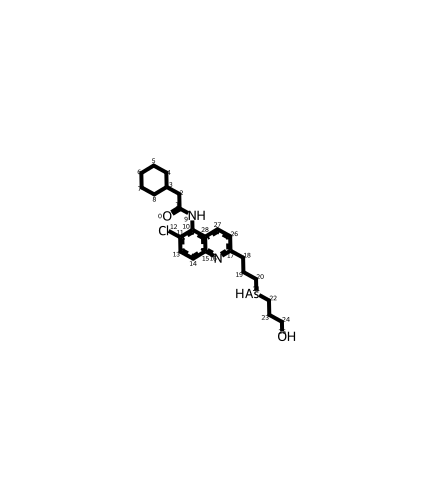 O=C(CC1CCCCC1)Nc1c(Cl)ccc2nc(CCC[AsH]CCCO)ccc12